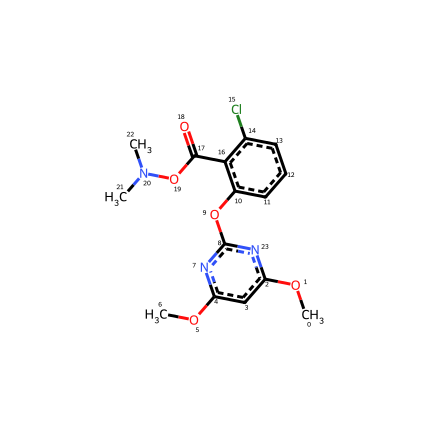 COc1cc(OC)nc(Oc2cccc(Cl)c2C(=O)ON(C)C)n1